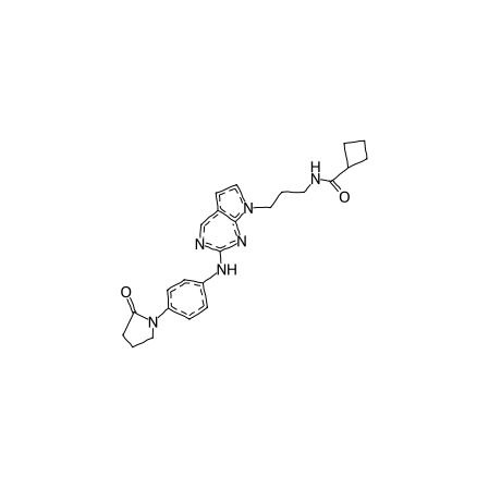 O=C(NCCCn1ccc2cnc(Nc3ccc(N4CCCC4=O)cc3)nc21)C1CCC1